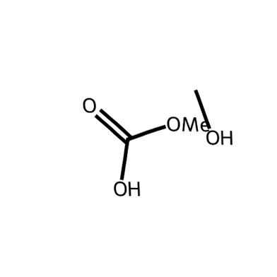 CO.COC(=O)O